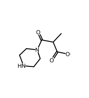 CC(C([O])=O)C(=O)N1CCNCC1